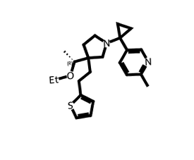 CCO[C@H](C)C1(CCc2cccs2)CCN(C2(c3ccc(C)nc3)CC2)C1